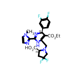 CCOC(=O)C1=C(CN2CC(F)(F)C[C@H]2C(=O)O)NC(c2nccn2C)=N[C@H]1c1ccc(F)c(F)c1